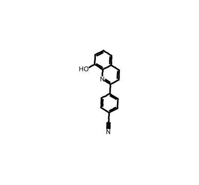 N#Cc1ccc(-c2ccc3cccc(O)c3n2)cc1